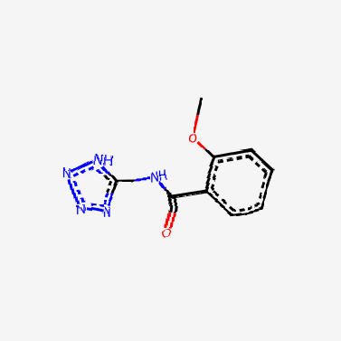 COc1ccccc1C(=O)Nc1nnn[nH]1